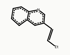 CCC=Cc1cnc2ccccc2c1